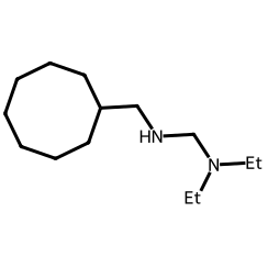 CCN(CC)CNCC1CCCCCCC1